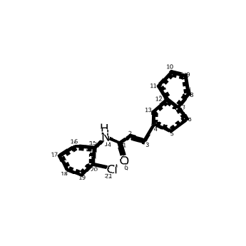 O=C(C=Cc1ccc2ccccc2c1)Nc1ccccc1Cl